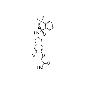 O=C(O)COc1cc2c(cc1Br)CC(NS(=O)(=O)c1ccccc1C(F)(F)F)C2